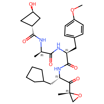 COc1ccc(C[C@H](NC(=O)[C@@H](C)NC(=O)[C@H]2C[C@H](O)C2)C(=O)N[C@@H](CC2CCCC2)C(=O)[C@@]2(C)CO2)cc1